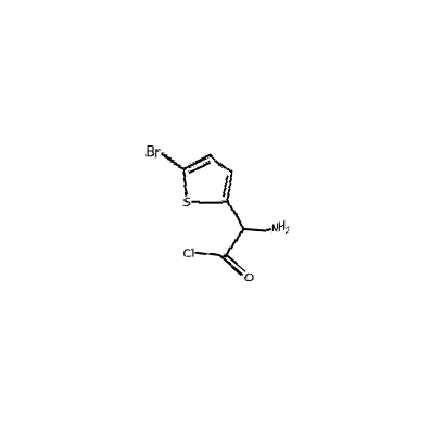 NC(C(=O)Cl)c1ccc(Br)s1